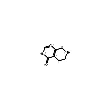 O=c1[nH]cnc2c1CCNC2